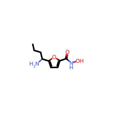 CCC[C@H](N)c1ccc(C(=O)NO)o1